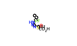 CCOc1cc(-c2cc(NCCc3c(C(F)F)ccc4ccccc34)ncn2)sc1C(=O)O